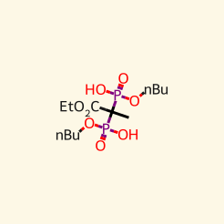 CCCCOP(=O)(O)C(C)(C(=O)OCC)P(=O)(O)OCCCC